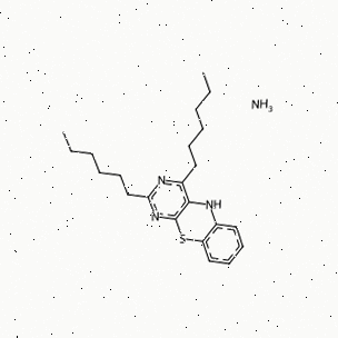 CCCCCCc1nc(CCCCCC)c2c(n1)Sc1ccccc1N2.N